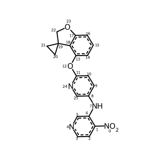 O=[N+]([O-])c1ccncc1Nc1ccc(Oc2cccc3c2C2(CC2)CO3)nc1